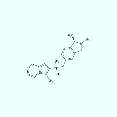 C[C@@H]1c2ccc(CC(C)(C)c3cc4ccccc4n3C)cc2CN1C(C)(C)C